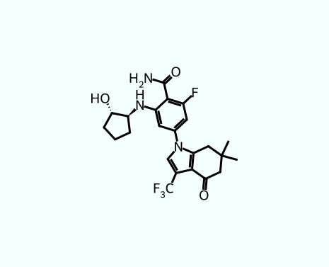 CC1(C)CC(=O)c2c(C(F)(F)F)cn(-c3cc(F)c(C(N)=O)c(N[C@H]4CCC[C@@H]4O)c3)c2C1